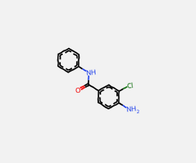 Nc1ccc(C(=O)Nc2ccccc2)cc1Cl